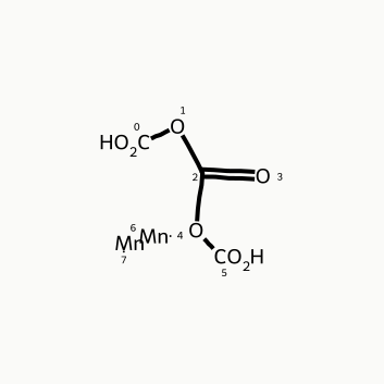 O=C(O)OC(=O)OC(=O)O.[Mn].[Mn]